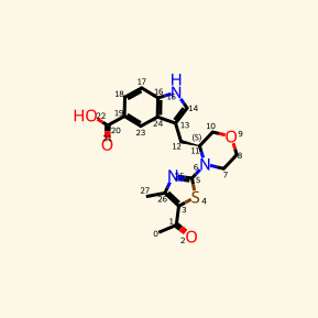 CC(=O)c1sc(N2CCOC[C@@H]2Cc2c[nH]c3ccc(C(=O)O)cc23)nc1C